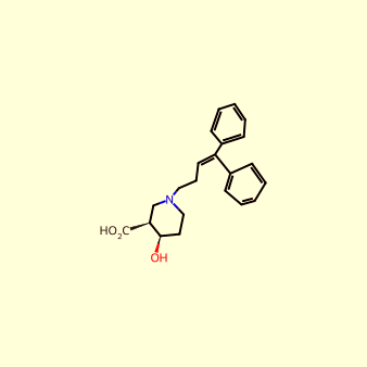 O=C(O)[C@H]1CN(CCC=C(c2ccccc2)c2ccccc2)CC[C@H]1O